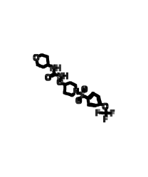 O=C(NOC1CCN(S(=O)(=O)c2ccc(OC(F)(F)F)cc2)CC1)NC1CCOCC1